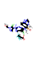 COCCn1ncc(Nc2ncc(Cl)c(Nc3ccc4nccnc4c3P(C)(C)=O)n2)c1Cl.O=C(O)C(F)(F)F